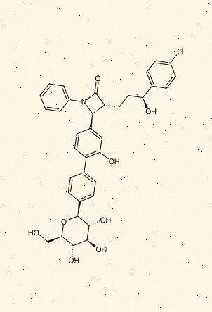 O=C1[C@H](CC[C@H](O)c2ccc(Cl)cc2)[C@@H](c2ccc(-c3ccc([C@@H]4O[C@H](CO)[C@@H](O)[C@H](O)[C@H]4O)cc3)c(O)c2)N1c1ccccc1